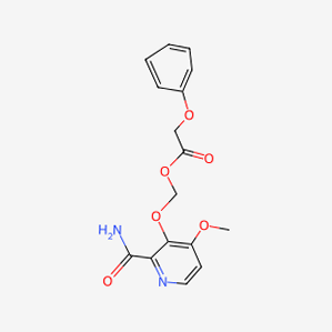 COc1ccnc(C(N)=O)c1OCOC(=O)COc1ccccc1